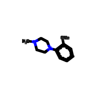 COc1c[c]ccc1N1CCN(C)CC1